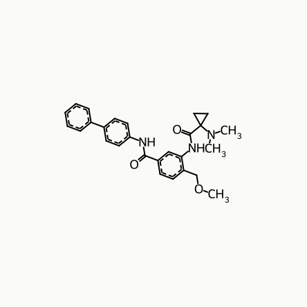 COCc1ccc(C(=O)Nc2ccc(-c3ccccc3)cc2)cc1NC(=O)C1(N(C)C)CC1